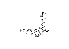 CC(=O)c1cc2c(cc1OCCCCCBr)OC(CCC(=O)O)CC2